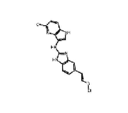 CCOC=Cc1ccc2[nH]c(Nc3c[nH]c4ccc(Cl)nc34)nc2c1